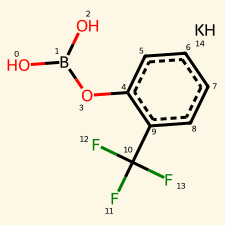 OB(O)Oc1ccccc1C(F)(F)F.[KH]